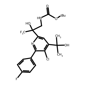 CC(C)(C)OC(=O)NCC(O)(c1cc(C(C)(C)O)c(Cl)c(-c2ccc(F)cc2)n1)C(F)(F)F